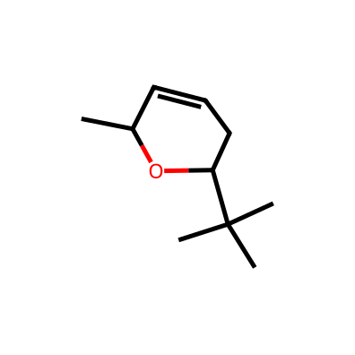 CC1C=CCC(C(C)(C)C)O1